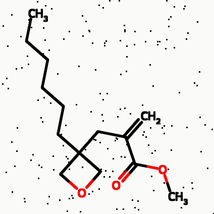 C=C(CC1(CCCCCC)COC1)C(=O)OC